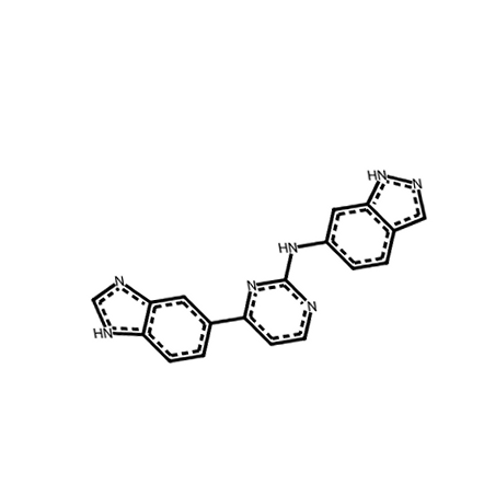 c1cc(-c2ccc3[nH]cnc3c2)nc(Nc2ccc3cn[nH]c3c2)n1